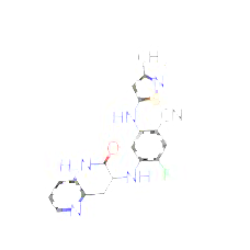 Cc1cc(Nc2cc(NC(Cc3ccccn3)C(N)=O)c(F)cc2C#N)sn1